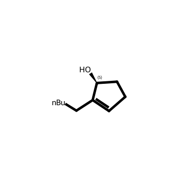 CCCCCC1=CCC[C@@H]1O